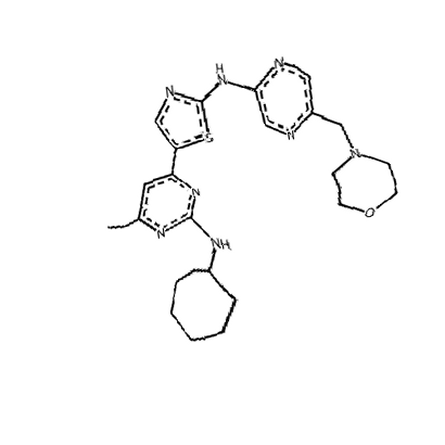 Cc1cc(-c2cnc(Nc3cnc(CN4CCOCC4)cn3)s2)nc(NC2CCCCC2)n1